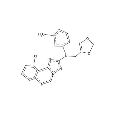 Cc1cccc(N(CC2=COCO2)c2nc3c4c(Cl)cccc4ncn3n2)c1